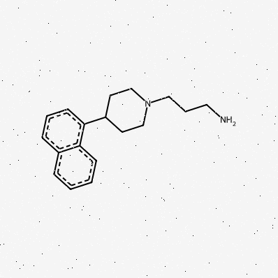 NCCCN1CCC(c2cccc3ccccc23)CC1